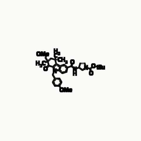 COCC1(C)CC(C)(C)c2c(n(Cc3ccc(OC)cc3)c3ccc(C(=O)NC4CCN(C(=O)OC(C)(C)C)C4)cc23)C1=O